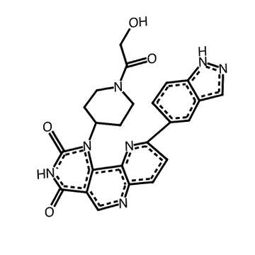 O=C(CO)N1CCC(n2c(=O)[nH]c(=O)c3cnc4ccc(-c5ccc6[nH]ncc6c5)nc4c32)CC1